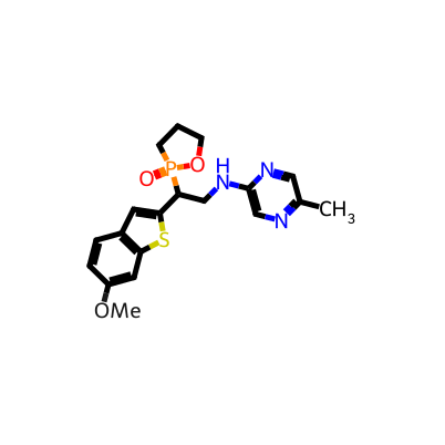 COc1ccc2cc(C(CNc3cnc(C)cn3)P3(=O)CCCO3)sc2c1